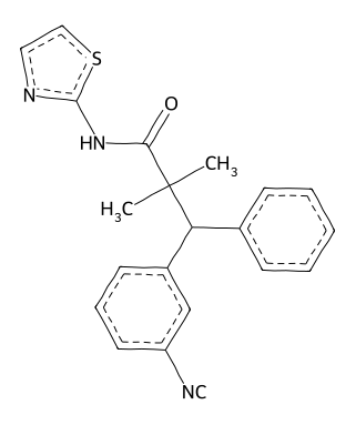 [C-]#[N+]c1cccc(C(c2ccccc2)C(C)(C)C(=O)Nc2nccs2)c1